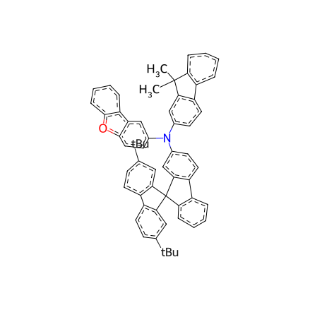 CC(C)(C)c1ccc2c(c1)C1(c3ccccc3-c3ccc(N(c4ccc5c(c4)C(C)(C)c4ccccc4-5)c4ccc5oc6ccccc6c5c4)cc31)c1cc(C(C)(C)C)ccc1-2